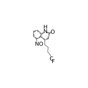 O=Nc1cccc2[nH]c(=O)cc(CCCCCF)c12